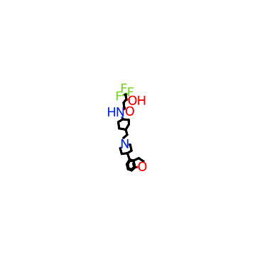 O=C(CC(O)C(F)(F)F)NC1CCC(CCN2CCC(c3cccc4c3CCO4)CC2)CC1